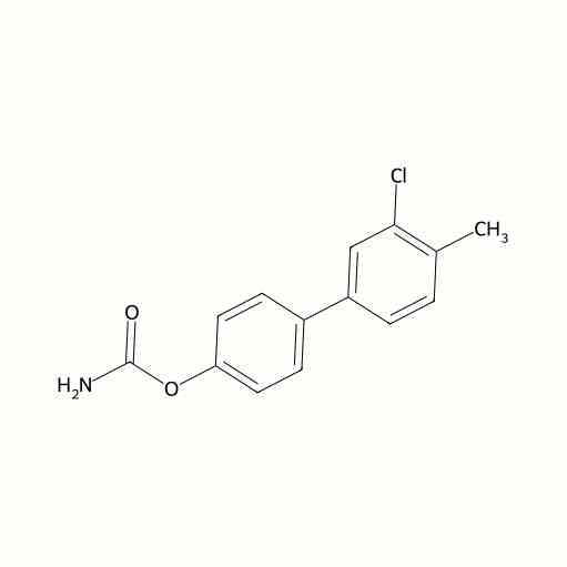 Cc1ccc(-c2ccc(OC(N)=O)cc2)cc1Cl